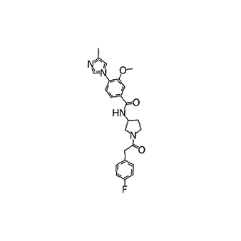 COc1cc(C(=O)NC2CCN(C(=O)Cc3ccc(F)cc3)C2)ccc1-n1cnc(C)c1